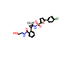 O=C(NCCO)c1ccccc1C1CC1(NS(=O)(=O)c1ccc(-c2ccc(Cl)cc2)s1)C(=O)O